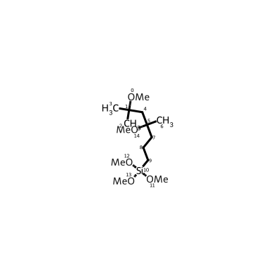 COC(C)(C)CC(C)(CCC[Si](OC)(OC)OC)OC